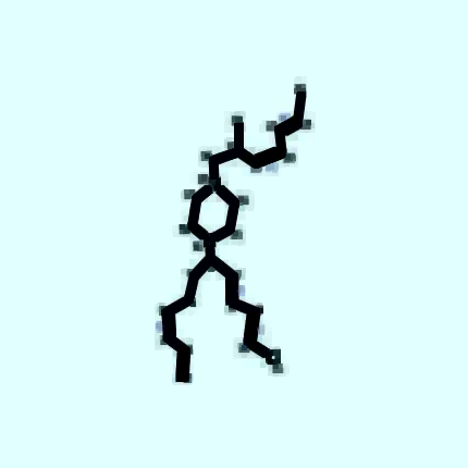 C=C/C=C\CCC(/C=C/C=C/Cl)N1CCN(CC(C)/C=C\C=C\C)CC1